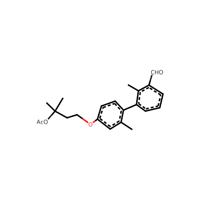 CC(=O)OC(C)(C)CCOc1ccc(-c2cccc(C=O)c2C)c(C)c1